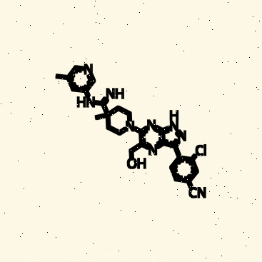 Cc1cncc(NC(=N)C2(C)CCN(c3nc4[nH]nc(-c5ccc(C#N)cc5Cl)c4nc3CO)CC2)c1